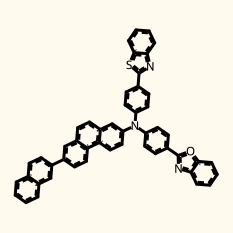 c1ccc2cc(-c3ccc4c(ccc5cc(N(c6ccc(-c7nc8ccccc8o7)cc6)c6ccc(-c7nc8ccccc8s7)cc6)ccc54)c3)ccc2c1